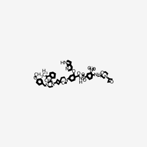 COc1ccc(CN2CCN(C3CC4(CCN(c5ccc(C(=O)NS(=O)(=O)c6ccc(NC[C@@H]7CN(C8COC8)CCO7)c([N+](=O)[O-])c6)c(Oc6cnc7[nH]ccc7c6)c5)CC4)C3)[C@H](c3ccccc3C(C)C)C2)cc1